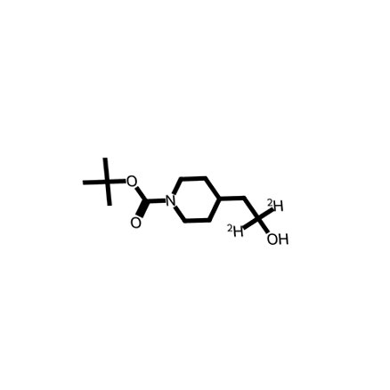 [2H]C([2H])(O)CC1CCN(C(=O)OC(C)(C)C)CC1